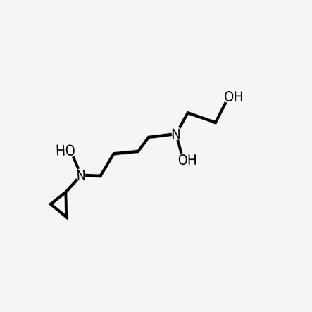 OCCN(O)CCCCN(O)C1CC1